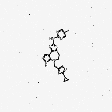 Fc1cnc(Nc2nc3c(s2)CCN(Cc2coc(C4CC4)n2)c2[nH]ncc2-3)nc1